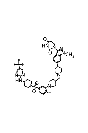 Cn1nc(N2CCC(=O)NC2=O)c2ccc(C3CCN(CC4CCN(c5cc(S(=O)(=O)N6CCC(Nc7ncc(C(F)(F)F)cn7)CC6)ccc5F)CC4)CC3)cc21